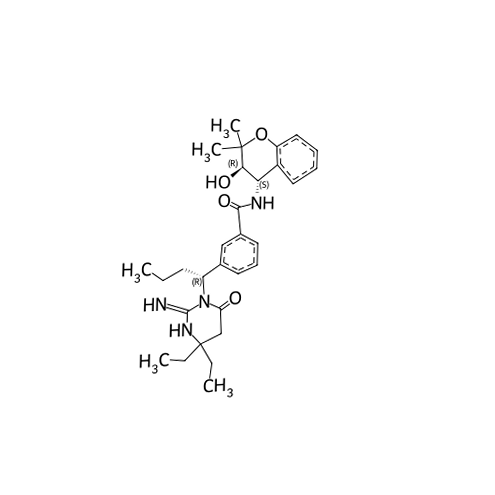 CCC[C@H](c1cccc(C(=O)N[C@H]2c3ccccc3OC(C)(C)[C@@H]2O)c1)N1C(=N)NC(CC)(CC)CC1=O